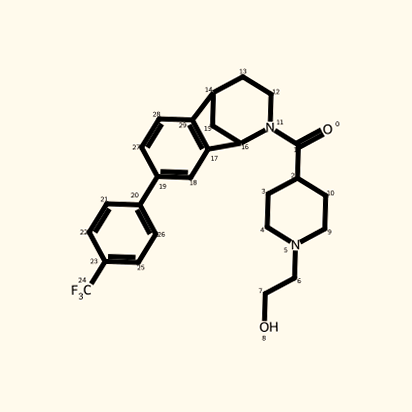 O=C(C1CCN(CCO)CC1)N1CCC2CC1c1cc(-c3ccc(C(F)(F)F)cc3)ccc12